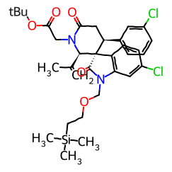 C=C(C)[C@H]1N(CC(=O)OC(C)(C)C)C(=O)C[C@@H](c2cccc(Cl)c2)[C@]12C(=O)N(COCC[Si](C)(C)C)c1cc(Cl)ccc12